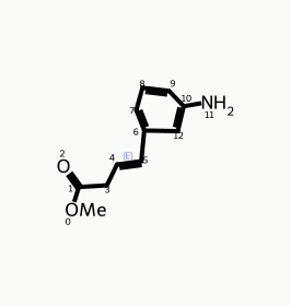 COC(=O)C/C=C/c1cccc(N)c1